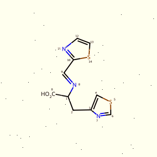 O=C(O)C(Cc1cscn1)/N=C/c1nccs1